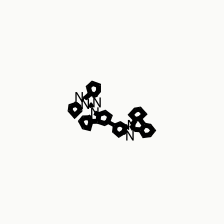 c1ccc2c(c1)nc(-n1c3ccccc3c3cc(-c4ccc5nc6c7ccccc7c7ccccc7n6c5c4)ccc31)n1c3ccccc3nc21